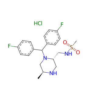 C[C@H]1CN(C(c2ccc(F)cc2)c2ccc(F)cc2)[C@H](CNS(C)(=O)=O)CN1.Cl